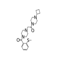 CSc1ccccc1C(=O)N1CCN(CC(=O)N2CCN(C3CCC3)CC2)CC1